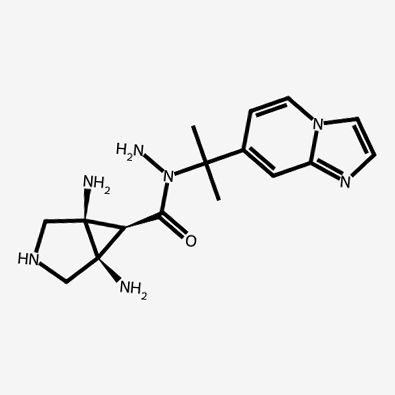 CC(C)(c1ccn2ccnc2c1)N(N)C(=O)[C@H]1[C@]2(N)CNC[C@]12N